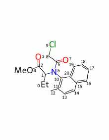 CCC(C(=O)OC)N(C(=O)CCl)c1c(C)ccc2ccccc12